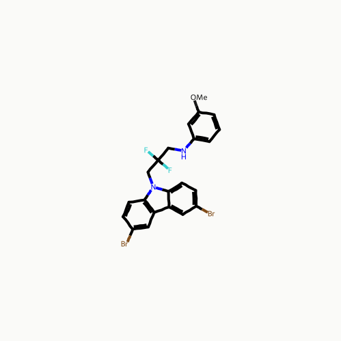 COc1cccc(NCC(F)(F)Cn2c3ccc(Br)cc3c3cc(Br)ccc32)c1